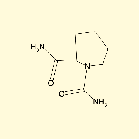 NC(=O)C1CCCCN1C(N)=O